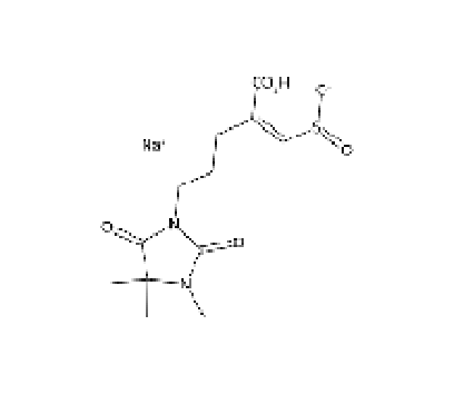 CN1C(=O)N(CCCC(=CS(=O)[O-])C(=O)O)C(=O)C1(C)C.[Na+]